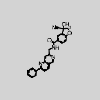 C[C@@]1(C#N)COc2ccc(C(=O)NCc3cc4nc(-c5ccccc5)ccc4cn3)cc21